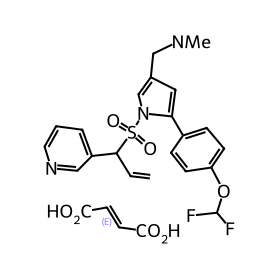 C=CC(c1cccnc1)S(=O)(=O)n1cc(CNC)cc1-c1ccc(OC(F)F)cc1.O=C(O)/C=C/C(=O)O